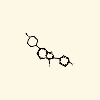 CN1CCC(c2ccn3c(I)c(-c4ccc(F)cc4)nc3c2)CC1